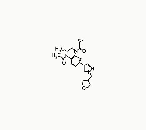 CC(=O)N1c2ccc(-c3cnn(CC4CCOCC4)c3)cc2N(C(=O)C2CC2)CC1C